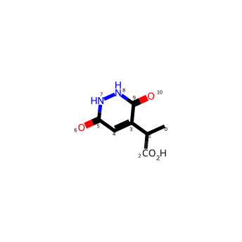 CC(C(=O)O)c1cc(=O)[nH][nH]c1=O